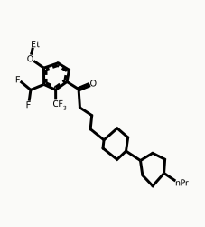 CCCC1CCC(C2CCC(CCCC(=O)c3ccc(OCC)c(C(F)F)c3C(F)(F)F)CC2)CC1